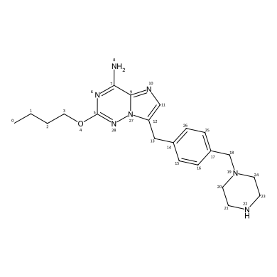 CCCCOc1nc(N)c2ncc(Cc3ccc(CN4CCNCC4)cc3)n2n1